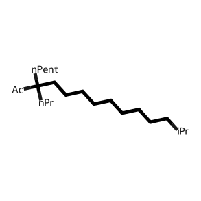 CCCCCC(CCC)(CCCCCCCCCC(C)C)C(C)=O